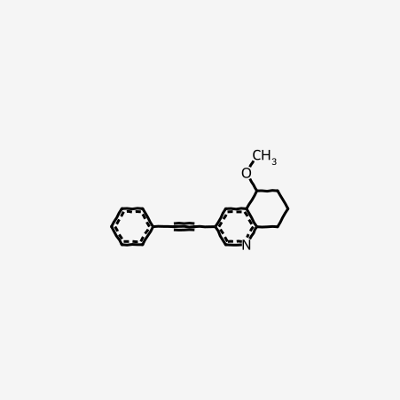 COC1CCCc2ncc(C#Cc3ccccc3)cc21